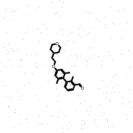 Cc1cc(OCCC2CCOCC2)cc(C)c1-c1cccc(C=O)c1C